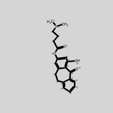 CN(C)CCCC(=O)Oc1cc(O)c2c(c1)CCc1ccccc1C2=O